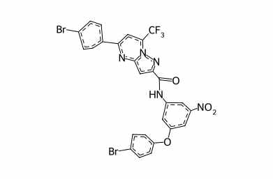 O=C(Nc1cc(Oc2ccc(Br)cc2)cc([N+](=O)[O-])c1)c1cc2nc(-c3ccc(Br)cc3)cc(C(F)(F)F)n2n1